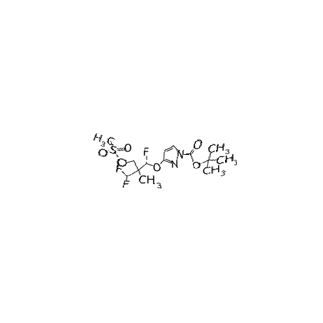 CC(C)(C)OC(=O)n1ccc(OC(F)C(C)(COS(C)(=O)=O)C(F)F)n1